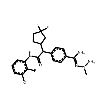 CN(N)/N=C(\N)c1ccc(C(C(=O)Nc2cccc(Cl)c2F)C2CCC(F)(F)C2)cc1